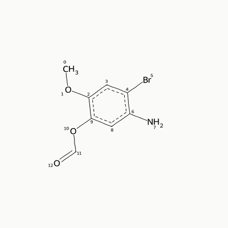 COc1cc(Br)c(N)cc1OC=O